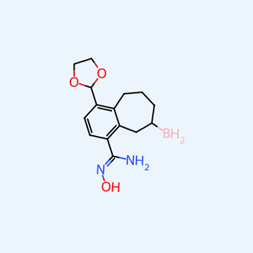 BC1CCCc2c(C3OCCO3)ccc(/C(N)=N/O)c2C1